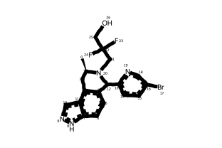 C[C@@H]1Cc2c(ccc3[nH]ncc23)C(c2ccc(Br)cn2)N1CC(F)(F)CO